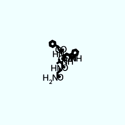 CC(C)[C@H](NP(=O)(O)C(Cc1c[nH]c2ccccc12)NC(=O)OCc1ccccc1)C(=O)NCCC(N)=O